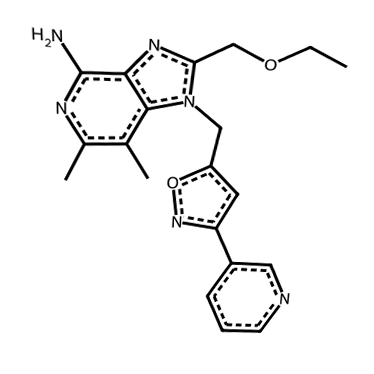 CCOCc1nc2c(N)nc(C)c(C)c2n1Cc1cc(-c2cccnc2)no1